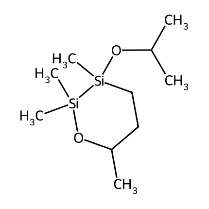 CC(C)O[Si]1(C)CCC(C)O[Si]1(C)C